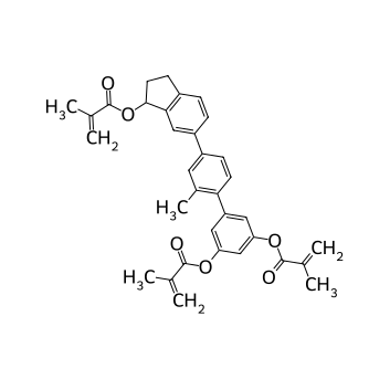 C=C(C)C(=O)Oc1cc(OC(=O)C(=C)C)cc(-c2ccc(-c3ccc4c(c3)C(OC(=O)C(=C)C)CC4)cc2C)c1